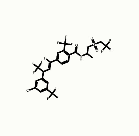 CC(CS(=O)(=O)CC(F)(F)F)NC(=O)c1ccc(/C(F)=C/C(c2cc(Cl)cc(C(C)(F)F)c2)C(F)(F)F)cc1C(F)(F)F